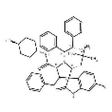 CC(C)(C)C[C@H]1N([C@H](c2ccccc2)[C@@H](O)c2ccccc2)[C@@H](C(=O)N[C@H]2CC[C@H](O)CC2)C(Cc2ccccc2)[C@@]12C(=O)Nc1cc(Cl)ccc12